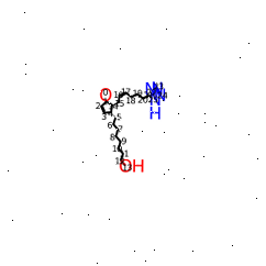 O=C1C=C[C@@H](CCCCCCCCO)[C@@H]1C/C=C\CCCc1nnn[nH]1